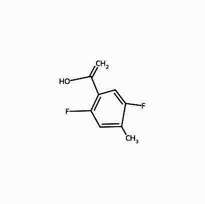 C=C(O)c1cc(F)c(C)cc1F